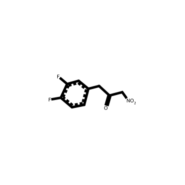 O=C(Cc1ccc(F)c(F)c1)C[N+](=O)[O-]